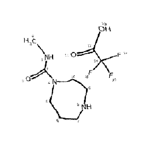 CNC(=O)N1CCCNCC1.O=C(O)C(F)(F)F